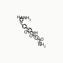 CC(C)(N)C(=O)N1CCN(C(=O)Nc2ccn(-c3ccc(CN4C[C@H]5CC5(N)C4)cc3)c(=O)n2)CC1